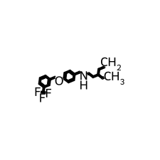 C=CCC(CC)CCNCc1ccc(OCc2cccc(C(F)(F)F)c2)cc1